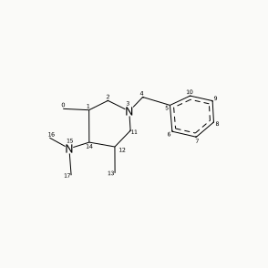 CC1CN(Cc2ccccc2)CC(C)C1N(C)C